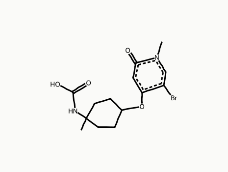 Cn1cc(Br)c(OC2CCC(C)(NC(=O)O)CC2)cc1=O